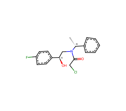 C[C@H](c1ccccc1)N(C[C@@H](O)c1ccc(F)cc1)C(=O)CCl